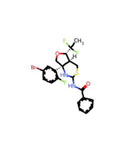 CC(F)(F)[C@H]1OC[C@]2(c3cc(Br)ccc3F)NC(NC(=O)c3ccccc3)SC[C@H]12